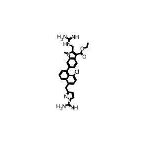 CCOC(=O)c1c(CNC(=N)N)n(C)c2cc(-c3cccc4c(Cc5ccn(C(=N)N)n5)ccc(Cl)c34)ccc12